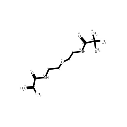 C=C(C)C(=O)NCCOCCNC(=O)C(C)(C)C